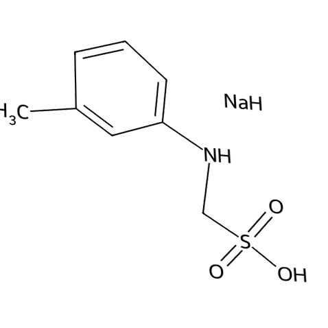 Cc1cccc(NCS(=O)(=O)O)c1.[NaH]